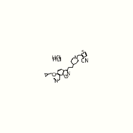 CN(C)Cc1c(OCC2CC2)ccc2c(CCC3CCN(Cc4sccc4C#N)CC3)noc12.Cl.Cl